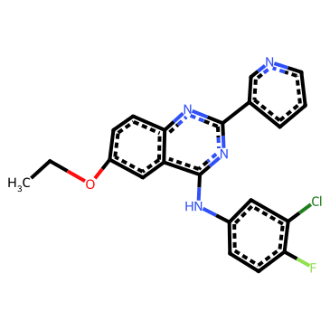 CCOc1ccc2nc(-c3cccnc3)nc(Nc3ccc(F)c(Cl)c3)c2c1